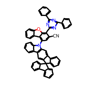 N#Cc1cc(-n2c3ccccc3c3cc4c(cc32)-c2ccccc2C42c3ccccc3-c3ccccc32)c2c(oc3ccccc32)c1-c1nc(-c2ccccc2)nc(-c2ccccc2)n1